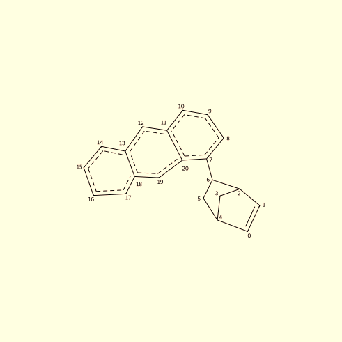 C1=CC2CC1CC2c1cccc2cc3ccccc3cc12